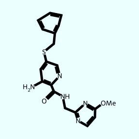 COc1ccnc(CNC(=O)c2ncc(SCc3ccccc3)cc2N)n1